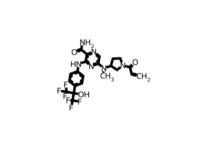 C=CC(=O)N1CCC(N(C)c2cnc(C(N)=O)c(Nc3ccc(C(O)(C(F)(F)F)C(F)(F)F)cc3)n2)C1